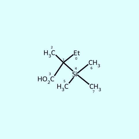 CCC(C)(C(=O)O)[Si](C)(C)C